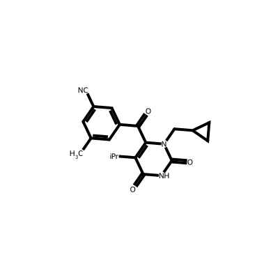 Cc1cc(C#N)cc(C(=O)c2c(C(C)C)c(=O)[nH]c(=O)n2CC2CC2)c1